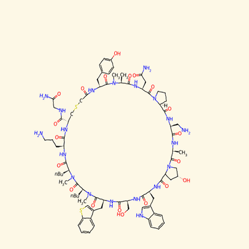 CCCC[C@H]1C(=O)N(C)[C@@H](CCCC)C(=O)N[C@@H](CCCN)C(=O)N[C@H](C(=O)NCC(N)=O)CSCC(=O)N[C@@H](Cc2ccc(O)cc2)C(=O)N(C)[C@@H](C)C(=O)N[C@@H](CC(N)=O)C(=O)N2CCC[C@H]2C(=O)N[C@@H](CN)C(=O)N[C@@H](C)C(=O)N2C[C@H](O)CC2C(=O)N[C@@H](Cc2c[nH]c3ccccc23)C(=O)N[C@@H](CO)C(=O)N[C@@H](Cc2csc3ccccc23)C(=O)N1C